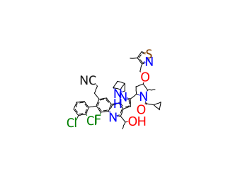 Cc1csnc1COC1CC(c2cc3c(C(C)O)nc4c(F)c(-c5cccc(Cl)c5Cl)c(CCC#N)cc4c3n2C2C3CNC2C3)N(C(=O)C2CC2)C1C